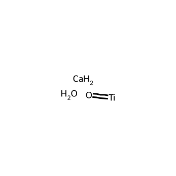 O.[CaH2].[O]=[Ti]